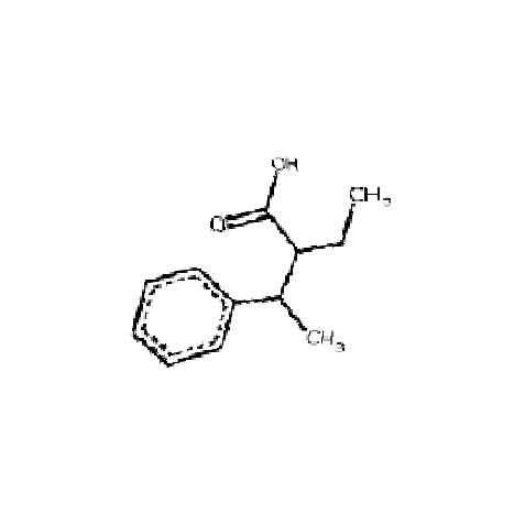 CCC(C(=O)O)C(C)c1ccccc1